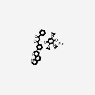 O=C(CC(=O)c1ccccc1)c1ccccc1.O=C1C=C(N2CC2)C(=O)C(N2CC2)=C1N1CC1.[Eu].c1cnc2c(c1)ccc1cccnc12